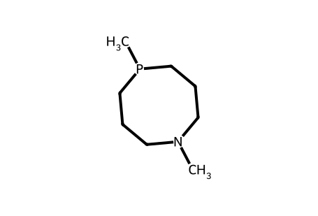 CN1CCCP(C)CCC1